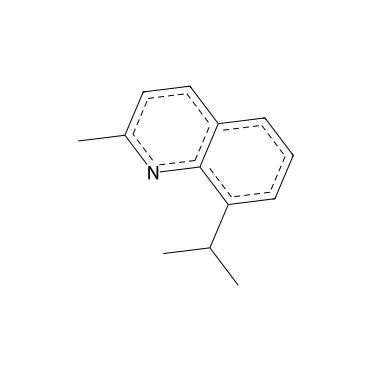 Cc1ccc2cccc(C(C)C)c2n1